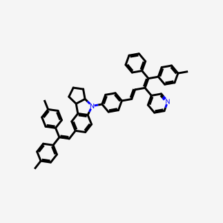 Cc1ccc(C(=Cc2ccc3c(c2)C2CCCC2N3c2ccc(/C=C/C(=C(\c3ccccc3)c3ccc(C)cc3)c3cccnc3)cc2)c2ccc(C)cc2)cc1